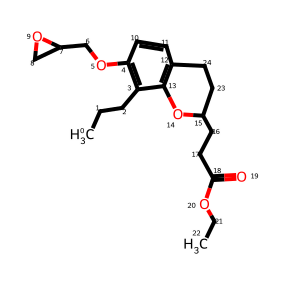 CCCc1c(OCC2CO2)ccc2c1OC(CCC(=O)OCC)CC2